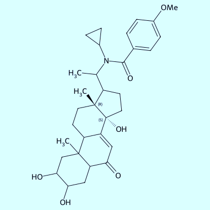 COc1ccc(C(=O)N(C2CC2)C(C)C2CC[C@@]3(O)C4=CC(=O)C5CC(O)C(O)CC5(C)C4CC[C@]23C)cc1